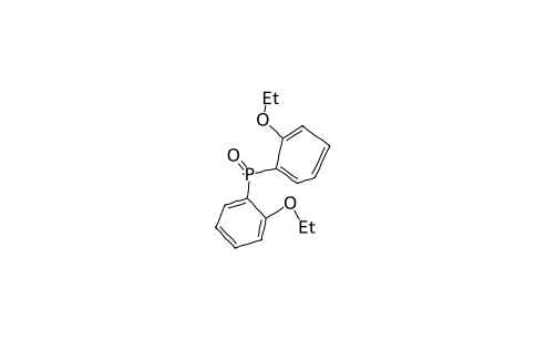 CCOc1ccccc1[P](=O)c1ccccc1OCC